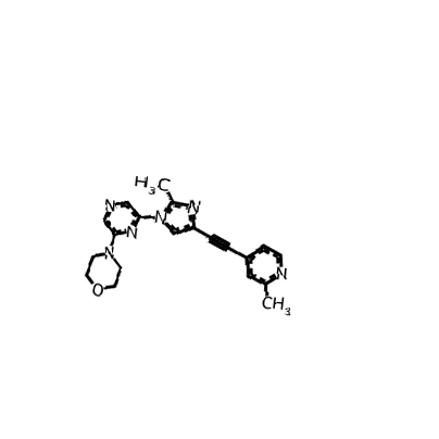 Cc1cc(C#Cc2cn(-c3cncc(N4CCOCC4)n3)c(C)n2)ccn1